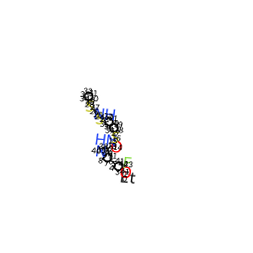 CCOc1ccc(-c2ccc3c(c2)c(C(=O)NSc2ccc4ccc(SNCCSc5ccccc5)cc4c2)cn3C)cc1F